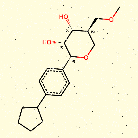 COC[C@H]1CO[C@H](c2ccc(C3CCCC3)cc2)[C@H](O)[C@@H]1O